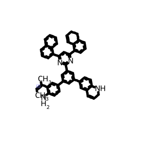 C/C=C(/C)c1cc(-c2cc(-c3ccc4c(c3)C=CCN4)cc(-c3nc(-c4cccc5c4C=CCC5)cc(-c4cccc5ccccc45)n3)c2)ccc1N